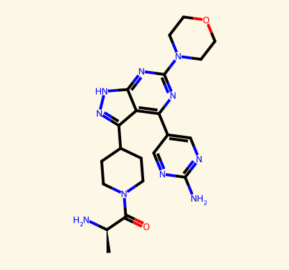 C[C@@H](N)C(=O)N1CCC(c2n[nH]c3nc(N4CCOCC4)nc(-c4cnc(N)nc4)c23)CC1